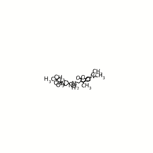 CCN(CC)c1ccc2c(C)c(CCNCC3(N)CCN(C(=O)OC(C)(C)C)CC3)c(=O)oc2c1